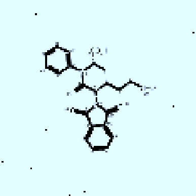 C[C@@H](C(=O)O)N(C(=O)[C@@H](CCCC=O)N1C(=O)c2ccccc2C1=O)c1ccccc1